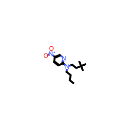 CCCCN(CCC(C)(C)C)c1ccc([N+](=O)[O-])cn1